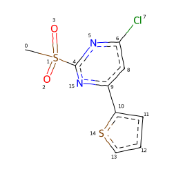 CS(=O)(=O)c1nc(Cl)cc(-c2cccs2)n1